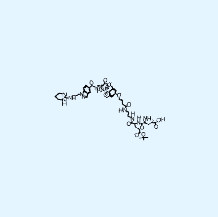 COC(=O)[C@H](CNC(=O)c1ccc2c(cnn2CCCNC2=NCCCN2)c1)NS(=O)(=O)c1c(C)cc(OCCCC(=O)NCCNC(=O)C(CCC(=O)OC(C)(C)C)NC(=O)[C@@H](N)CCC(=O)O)cc1C